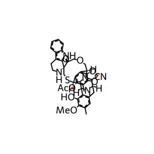 COc1c(C)cc2c(c1O)[C@@H]1C3[C@@H]4SC[C@]5(NCCc6c5[nH]c5ccccc65)C(=O)COC[C@@H](c5c6c(c(C)c(OC(C)=O)c54)OCO6)N3[C@@H](C#N)[C@H](C2)N1C